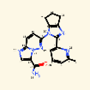 Cc1cccc(-c2nc3c(n2-c2ccc4ncc(C(N)=O)n4n2)CCC3)n1